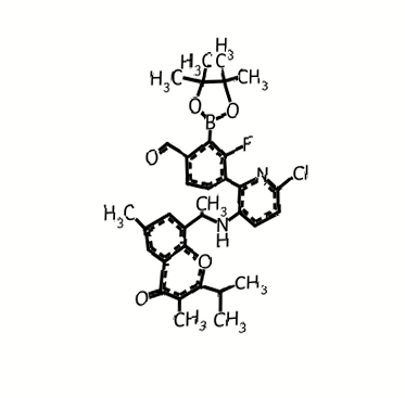 Cc1cc(C(C)Nc2ccc(Cl)nc2-c2ccc(C=O)c(B3OC(C)(C)C(C)(C)O3)c2F)c2oc(C(C)C)c(C)c(=O)c2c1